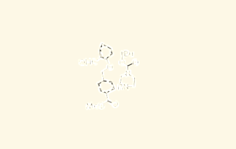 CC(C)(C)OC(=O)N1CCNCC1.COC(=O)c1ccc(COc2ccccc2C=O)cc1